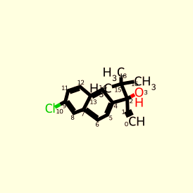 C#CC(O)(c1ccc2cc(Cl)ccc2c1)C(C)(C)C